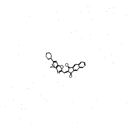 Cn1c(C2CCCCC2)cc2oc(C=C3C(=O)c4cc5ccccc5cc4C3=O)nc21